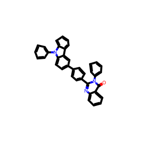 O=c1c2ccccc2nc(-c2ccc(-c3ccc4c(c3)c3ccccc3n4-c3ccccc3)cc2)n1-c1ccccc1